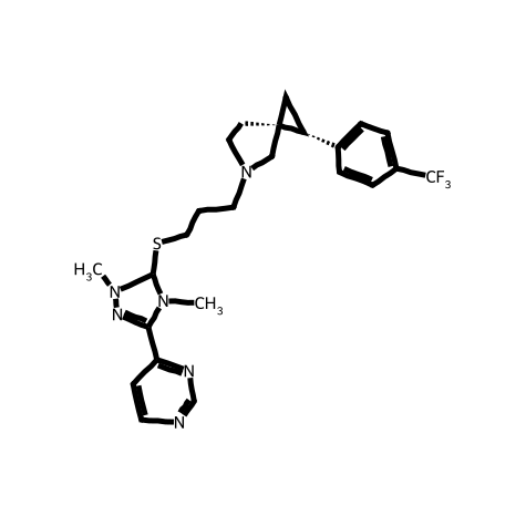 CN1N=C(c2ccncn2)N(C)C1SCCCN1CC[C@@]2(C[C@@H]2c2ccc(C(F)(F)F)cc2)C1